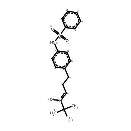 CC(C)(C)[N+]([O-])=CCCc1ccc(NS(=O)(=O)c2ccccc2)cc1